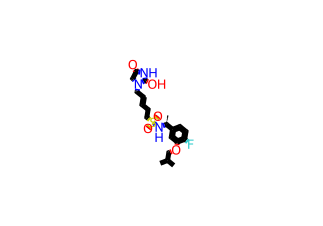 CC(C)COc1cc([C@@H](C)NS(=O)(=O)CC/C=C/CN2CC(=O)NC2O)ccc1F